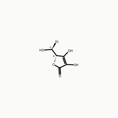 CC[C@H](O)[C@H]1OC(=O)C(O)=C1O